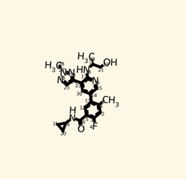 Cc1cc(F)c(C(=O)NC2CC2)cc1-c1cnc(N[C@@H](C)CO)c(-c2cnn(C)n2)c1